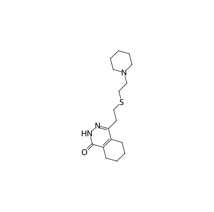 O=c1[nH]nc(CCSCCN2CCCCC2)c2c1CCCC2